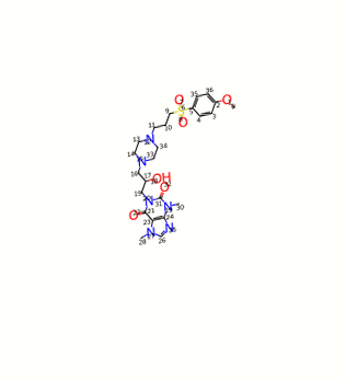 COc1ccc(S(=O)(=O)CCCN2CCN(CC(O)Cn3c(=O)c4c(ncn4C)n(C)c3=O)CC2)cc1